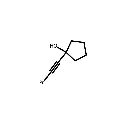 CC(C)C#CC1(O)CCCC1